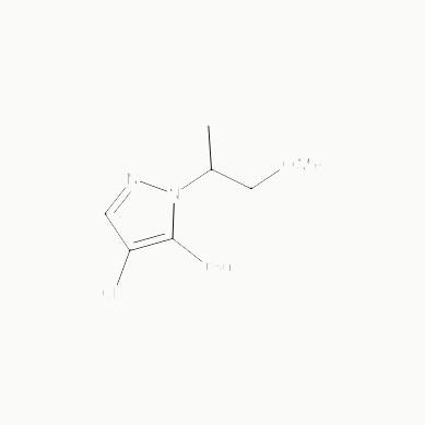 COCC(C)n1ncc(Cl)c1C(C)(C)C